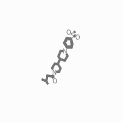 CC(C)CC(=O)N1CCC(C2CCN(c3ccc(S(C)(=O)=O)cc3)CC2)CC1